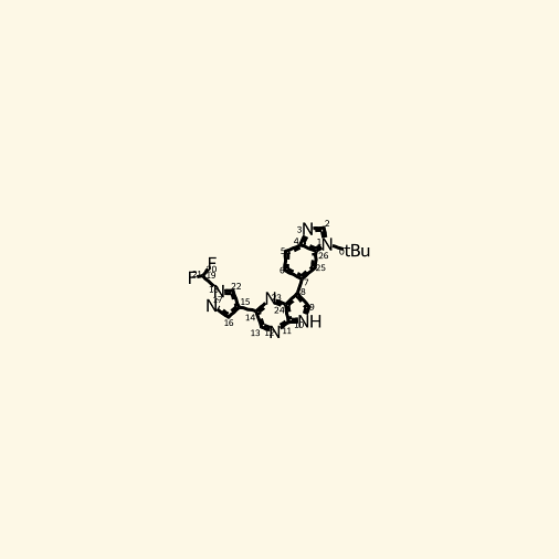 CC(C)(C)n1cnc2ccc(-c3c[nH]c4ncc(-c5cnn(C(F)F)c5)nc34)cc21